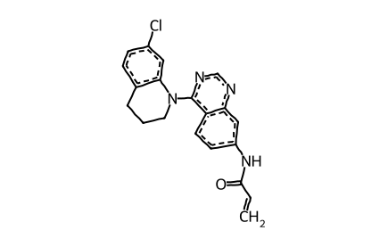 C=CC(=O)Nc1ccc2c(N3CCCc4ccc(Cl)cc43)ncnc2c1